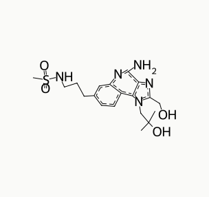 CC(C)(O)Cn1c(CO)nc2c(N)nc3cc(CCCNS(C)(=O)=O)ccc3c21